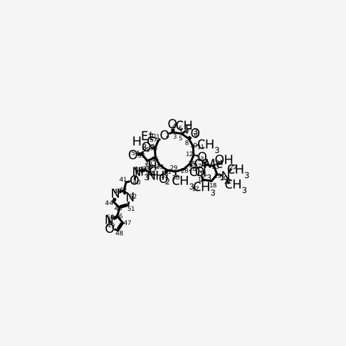 CC[C@@H]1OC(=O)[C@@](C)(F)C(=O)[C@H](C)[C@@H](OC2O[C@H](C)C[C@H](N(C)C)[C@H]2O)[C@](C)(OC)C[C@@H](C)C(=O)[C@H](C)[C@H]2[C@H](/C(N)=N/OCc3ncc(-c4ccon4)cn3)C(=O)O[C@@]21C